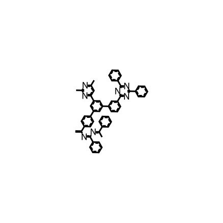 C=C(/N=C(\N=C(/C)c1ccccc1)c1ccccc1)c1ccc(-c2cc(-c3cccc(-c4nc(-c5ccccc5)nc(-c5ccccc5)n4)c3)cc(-c3cc(C)nc(C)n3)c2)cc1